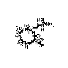 CC[C@@H]1NC(=O)[C@H](CCCNC(=N)N)NC(=O)[C@](C)(NC(=O)C(C)C)CCNC(=O)[C@@H](C)NC1=O